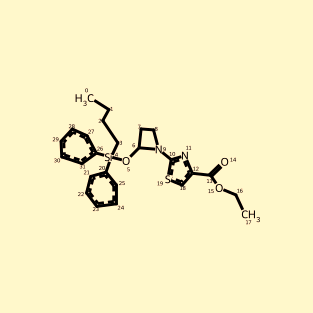 CCCC[Si](OC1CCN1c1nc(C(=O)OCC)cs1)(c1ccccc1)c1ccccc1